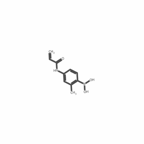 C=CC(=O)Nc1ccc(B(O)O)c(C)c1